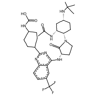 CC(=O)N[C@@H]1C[C@H](NC(C)(C)C)CC[C@@H]1N1CC[C@H](Nc2nc(C3CCC(NC(=O)O)CC3)nc3ccc(C(F)(F)F)cc23)C1=O